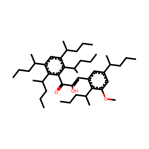 CCCC(C)c1cc(C=C(O)C(=O)c2c(C(C)CCC)c(C(C)CCC)cc(C(C)CCC)c2C(C)CCC)c(C(C)CCC)c(OC)c1